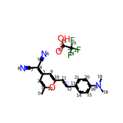 CC1=CC(=C(C#N)C#N)C=C(/C=C/c2ccc(N(C)C)cc2)O1.O=C(O)C(F)(F)F